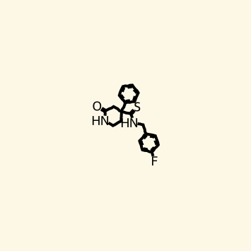 O=C1CC(C(=S)NCc2ccc(F)cc2)(c2ccccc2)CCN1